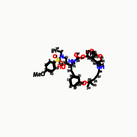 COc1ccc(S(=O)(=O)N(CC(C)C)C[C@@H](O)[C@@H]2Cc3cccc(c3)OC(C)(C)CCCN[C@H]3CO[C@@H]4OC[C@H](OC(=O)N2)[C@@H]43)cc1